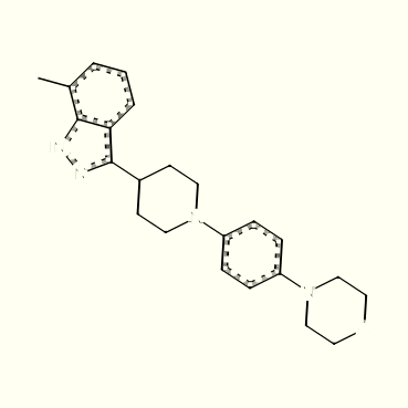 Cc1cccc2c(C3CCN(c4ccc(N5CCOCC5)cc4)CC3)n[nH]c12